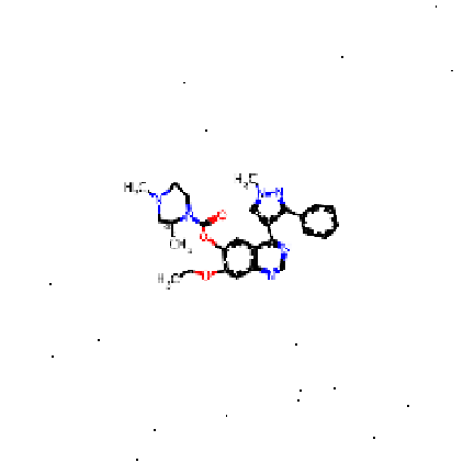 CCOc1cc2ncnc(-c3cn(C)nc3-c3ccccc3)c2cc1OC(=O)N1CCN(C)C[C@@H]1C